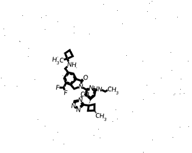 CCNc1cc([C@]2(c3nncn3C)C[C@@H](C)C2)cc(N2Cc3c(cc(CNC4(C)CCC4)cc3C(F)F)C2=O)n1